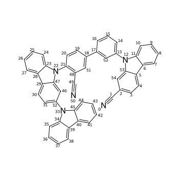 N#Cc1ccc2c3ccccc3n(-c3cccc(-c4ccc(-n5c6ccccc6c6ccc(-n7c8ccccc8c8ccccc87)cc65)c(C#N)c4)c3)c2c1